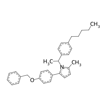 CCCCCc1ccc(C(C)n2c(C)ccc2-c2ccc(OCc3ccccc3)cc2)cc1